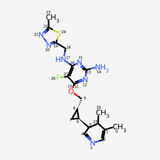 CC1=CN=CC([C@H]2C[C@@H]2COc2nc(N)nc(NCc3nnc(C)s3)c2F)C1C